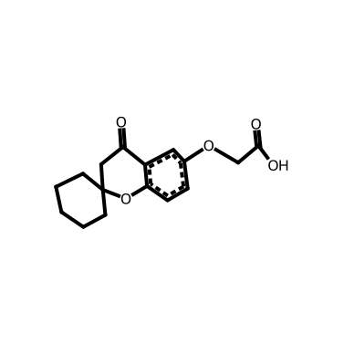 O=C(O)COc1ccc2c(c1)C(=O)CC1(CCCCC1)O2